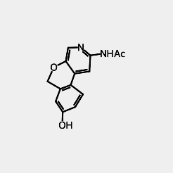 CC(=O)Nc1cc2c(cn1)OCc1cc(O)ccc1-2